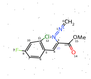 C=[N+]=N/C(=C\c1ccc(F)cc1Cl)C(=O)OC